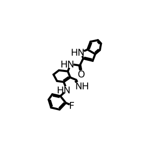 N=CC1=C(Nc2ccccc2F)CCCC1NC(=O)c1cc2ccccc2[nH]1